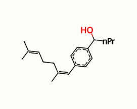 CCCC(O)c1ccc(C=C(C)CCC=C(C)C)cc1